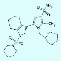 Cc1c(S(N)(=O)=O)cc(-c2cn(S(=O)(=O)N3CCCCC3)c3c2CCCC3)n1CC1CCCCC1